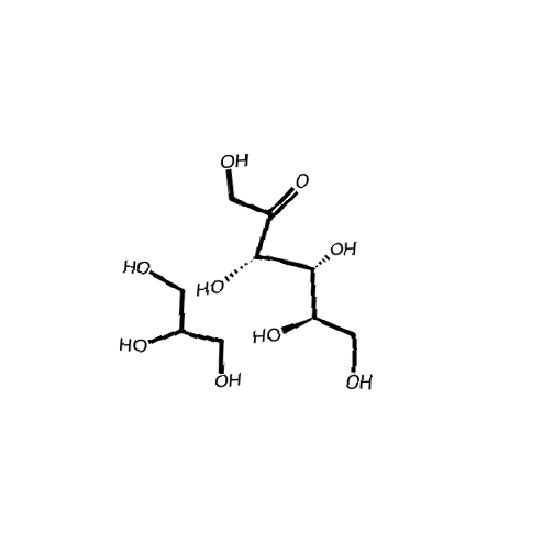 O=C(CO)[C@@H](O)[C@H](O)[C@H](O)CO.OCC(O)CO